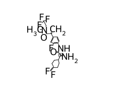 C=C(C(=O)N(C)CC(F)(F)F)c1ccc(NC(=O)[C@@H](N)C2CCC(=C(F)F)CC2)c(F)c1